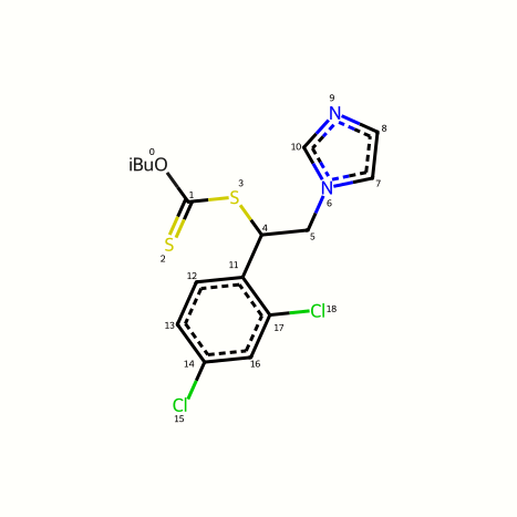 CC(C)COC(=S)SC(Cn1ccnc1)c1ccc(Cl)cc1Cl